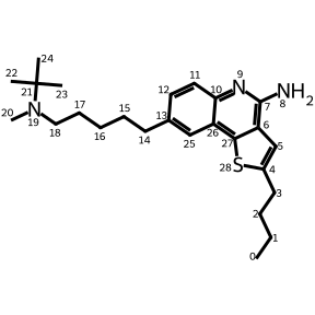 CCCCc1cc2c(N)nc3ccc(CCCCCN(C)C(C)(C)C)cc3c2s1